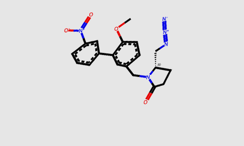 COc1ccc(CN2C(=O)CC[C@H]2CN=[N+]=[N-])cc1-c1cccc([N+](=O)[O-])c1